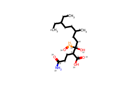 CCC(CC)CCC(C)CCC(O)([PH2]=O)C(CCC(N)=O)C(=O)O